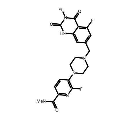 CCn1c(=O)[nH]c2cc(CN3CCN(c4ccc(C(=O)NC)nc4F)CC3)cc(F)c2c1=O